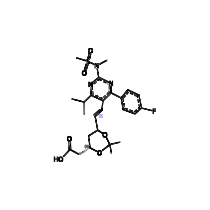 CC(C)c1nc(N(C)S(C)(=O)=O)nc(-c2ccc(F)cc2)c1/C=C/C1C[C@@H](CC(=O)O)OC(C)(C)O1